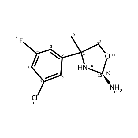 CC1(c2cc(F)cc(Cl)c2)CO[C@@H](N)N1